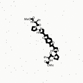 COC(=O)N[C@H](C(=O)N1CCC[C@H]1c1ncc(-c2cc3cc4oc(-c5cnc([C@@H]6CCCN6C(=O)[C@@H](NC(=O)OC)C(C)C)[nH]5)cc4cc3o2)[nH]1)C(C)C